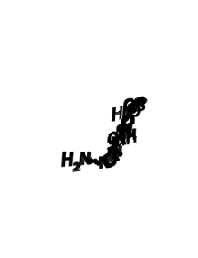 NCCCN1CCCn2nc(C(=O)Nc3nc4ccc(NS(=O)(=O)c5cccs5)cc4s3)cc2C1